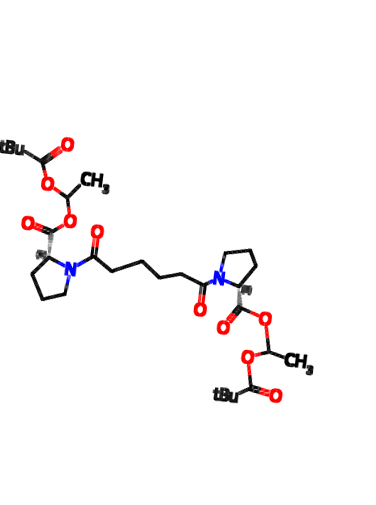 CC(OC(=O)[C@H]1CCCN1C(=O)CCCCC(=O)N1CCC[C@@H]1C(=O)OC(C)OC(=O)C(C)(C)C)OC(=O)C(C)(C)C